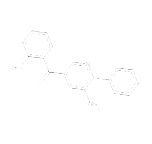 Nc1cc(C(=O)c2ccccc2O)cnc1-c1ccccc1